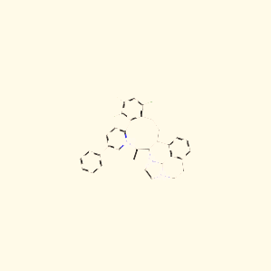 C=C1C2C(CCc3c(F)cc(F)c(F)c3-c3ccc(-c4ccccc4)c[n+]31)c1cccc3c1C1N(C=CN21)CC3